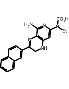 CCN(C(=O)O)c1cc2c(c(N)n1)N=C(c1ccc3ccccc3c1)CN2